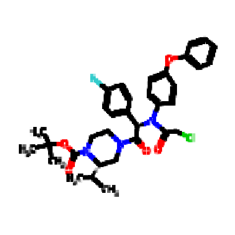 CC(C)[C@H]1CN(C(=O)[C@@H](c2ccc(F)cc2)N(C(=O)CCl)c2ccc(Oc3ccccc3)cc2)CCN1C(=O)OC(C)(C)C